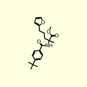 COC(=O)C(C)(CCCc1ccco1)NC(=O)c1ccc(C(C)(C)C)cc1